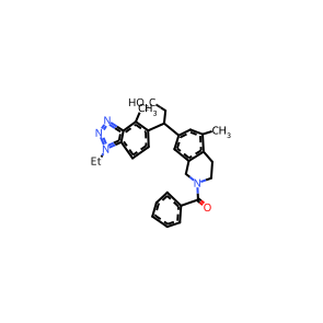 CCn1nnc2c(C)c(C(CC(=O)O)c3cc(C)c4c(c3)CN(C(=O)c3ccccc3)CC4)ccc21